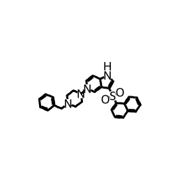 O=S(=O)(C1=CNC2C=CN(N3CCN(Cc4ccccc4)CC3)C=C12)c1cccc2ccccc12